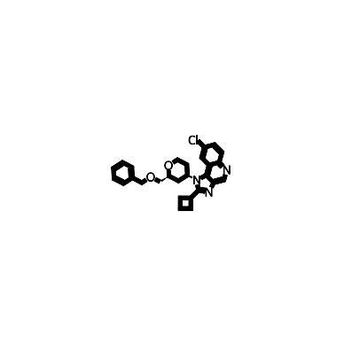 Clc1ccc2ncc3nc(C4CCC4)n([C@H]4CCO[C@@H](COCc5ccccc5)C4)c3c2c1